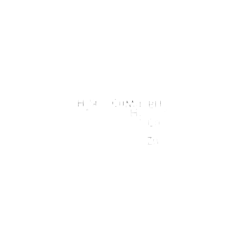 B.[Co].[Cu].[MgH2].[SrH2].[Zn]